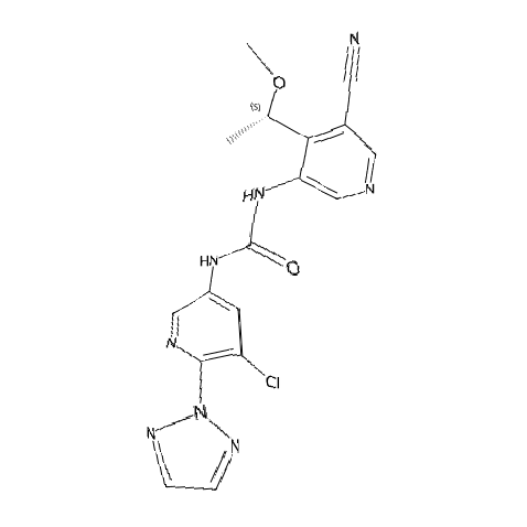 CO[C@@H](C)c1c(C#N)cncc1NC(=O)Nc1cnc(-n2nccn2)c(Cl)c1